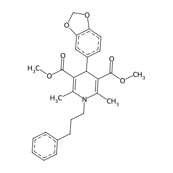 COC(=O)C1=C(C)N(CCCc2ccccc2)C(C)=C(C(=O)OC)C1c1ccc2c(c1)OCO2